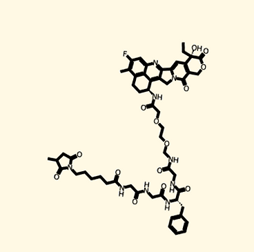 CC[C@@]1(O)C(=O)OCc2c1cc1n(c2=O)Cc2c-1nc1cc(F)c(C)c3c1c2[C@@H](NC(=O)COCCOCNC(=O)CNC(=O)[C@H](Cc1ccccc1)NC(=O)CNC(=O)CNC(=O)CCCCCN1C(=O)CC(C)C1=O)CC3